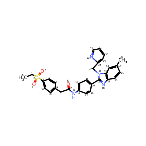 CCS(=O)(=O)c1ccc(CC(=O)Nc2ccc(-c3nc4ccc(C)cc4n3Cc3ccccn3)cc2)cc1